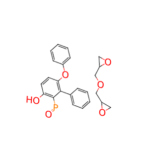 C(OCC1CO1)C1CO1.O=Pc1c(O)ccc(Oc2ccccc2)c1-c1ccccc1